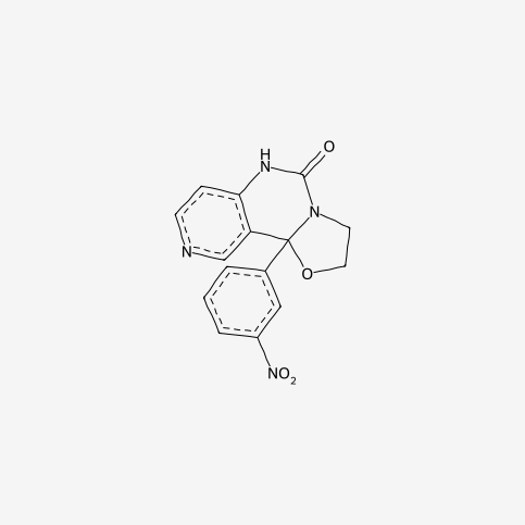 O=C1Nc2ccncc2C2(c3cccc([N+](=O)[O-])c3)OCCN12